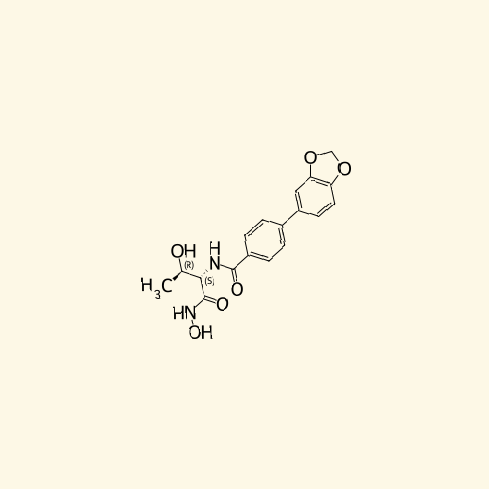 C[C@@H](O)[C@H](NC(=O)c1ccc(-c2ccc3c(c2)OCO3)cc1)C(=O)NO